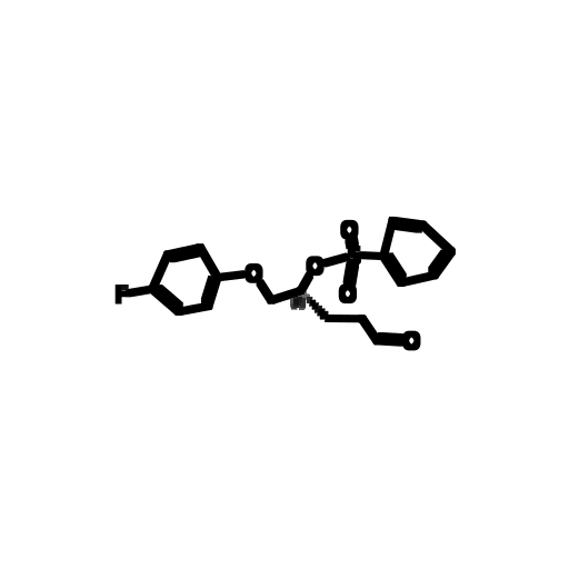 O=CCC[C@H](COc1ccc(F)cc1)OS(=O)(=O)c1ccccc1